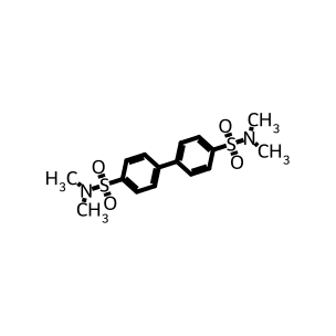 CN(C)S(=O)(=O)c1ccc(-c2ccc(S(=O)(=O)N(C)C)cc2)cc1